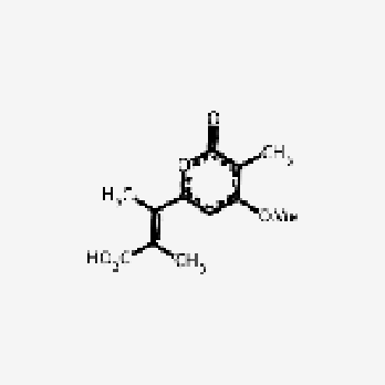 COc1cc(C(C)=C(C)C(=O)O)oc(=O)c1C